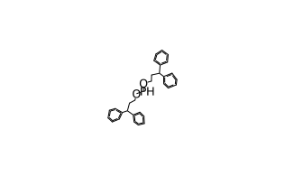 c1ccc(C(CCOPOCCC(c2ccccc2)c2ccccc2)c2ccccc2)cc1